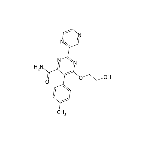 Cc1ccc(-c2c(OCCO)nc(-c3cnccn3)nc2C(N)=O)cc1